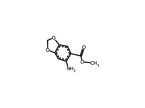 COC(=O)c1cc2c(cc1N)OCO2